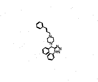 C(=C\c1ccccc1)/CN1CCN([C@@H](c2ccccc2)c2nnnn2-c2ccccc2)CC1